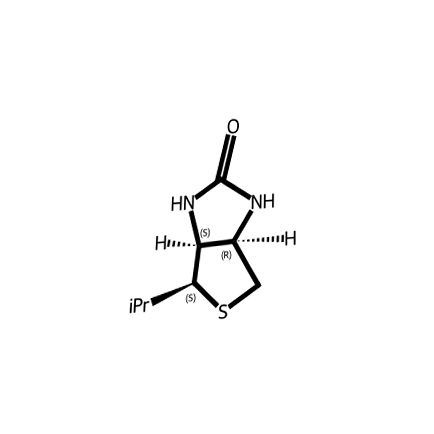 CC(C)[C@@H]1SC[C@@H]2NC(=O)N[C@@H]21